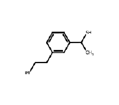 CC(C)CCc1cccc(C(C)S)c1